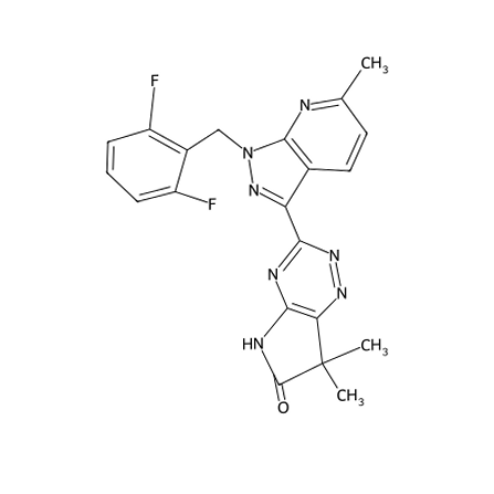 Cc1ccc2c(-c3nnc4c(n3)NC(=O)C4(C)C)nn(Cc3c(F)cccc3F)c2n1